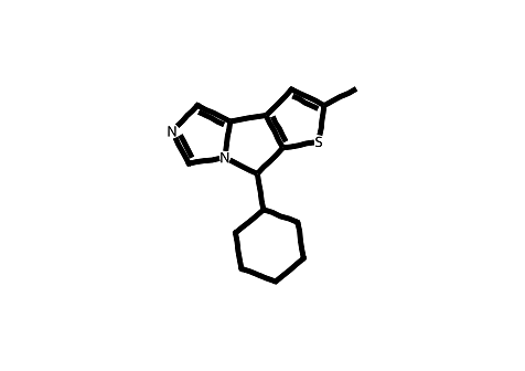 Cc1cc2c(s1)C(C1CCCCC1)n1cncc1-2